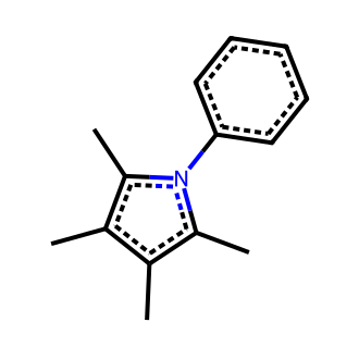 Cc1c(C)c(C)n(-c2ccccc2)c1C